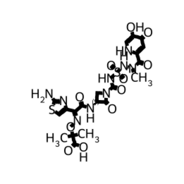 CN(NS(=O)(=O)NC(=O)N1C[C@H](NC(=O)C(=NOC(C)(C)C(=O)O)c2csc(N)n2)C1=O)C(=O)c1cc(=O)c(O)c[nH]1